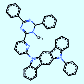 CN1C(c2cccc(-n3c4ccccc4c4cc5c(cc43)c3ccccc3n5-c3ccccc3)n2)=NC(c2ccccc2)=NC1c1ccccc1